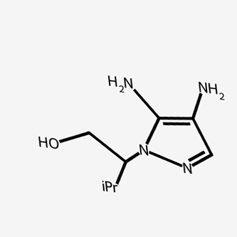 CC(C)C(CO)n1ncc(N)c1N